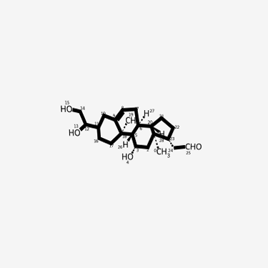 C[C@]12C[C@H](O)[C@H]3[C@@H](CC=C4CC(C(O)CO)CC[C@@]43C)[C@@H]1CC[C@@H]2CC=O